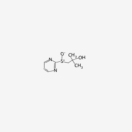 CC(C)(O)C[S+]([O-])c1ncccn1